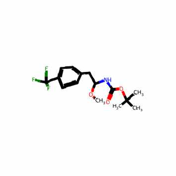 COC(Cc1ccc(C(F)(F)F)cc1)NC(=O)OC(C)(C)C